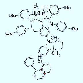 CC(C)(C)c1ccc(C2=Cc3cc(N4c5ccc([SiH](c6ccccc6)c6ccccc6-c6ccccc6)cc5C5(C)CCCCC45C)cc4c3B(C3=C2c2cc(C(C)(C)C)ccc2C3(C)C)C2=C(c3cc(C(C)(C)C)ccc3C2(C)C)N4c2ccc(C(C)(C)C)cc2)cc1